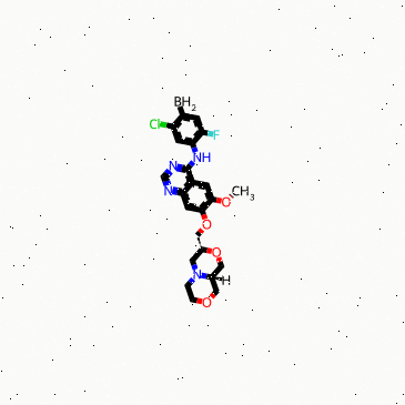 Bc1cc(F)c(Nc2ncnc3cc(OC[C@H]4CN5CCOC[C@H]5CO4)c(OC)cc23)cc1Cl